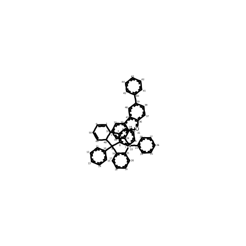 C1=CC2c3ccccc3C(c3ccccc3)(c3ccccc3N(c3ccccc3)c3cccc4c3oc3ccc(-c5ccccc5)cc34)C2C=C1